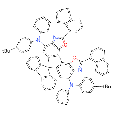 CC(C)(C)c1ccc(N(c2ccccc2)c2cc3c(c4oc(-c5cccc6ccccc56)nc24)-c2c(cc(N(c4ccccc4)c4ccc(C(C)(C)C)cc4)c4nc(-c5cccc6ccccc56)oc24)C32c3ccccc3-c3ccccc32)cc1